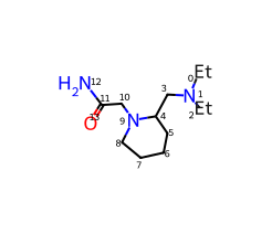 CCN(CC)CC1CCCCN1CC(N)=O